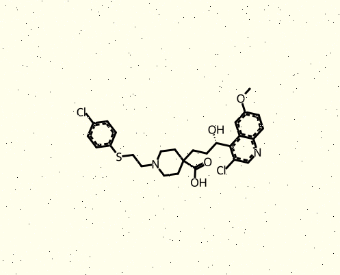 COc1ccc2ncc(Cl)c([C@@H](O)CCC3(C(=O)O)CCN(CCSc4ccc(Cl)cc4)CC3)c2c1